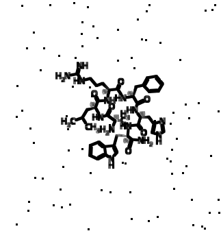 CC(C)C[C@H](NC(=O)[C@H](C)N)C(=O)N[C@@H](CCCNC(=N)N)C(=O)N[C@@H](Cc1ccccc1)C(=O)N[C@@H](Cc1c[nH]cn1)C(=O)N[C@@H](Cc1c[nH]c2ccccc12)C(N)=O